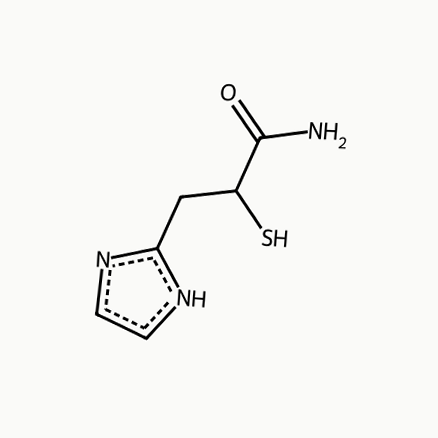 NC(=O)C(S)Cc1ncc[nH]1